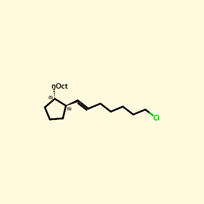 CCCCCCCC[C@H]1CCC[C@@H]1C=CCCCCCCl